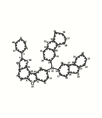 c1ccc(-c2nc3ccc4oc5ccc(N(c6ccc7sc8ccccc8c7c6)c6ccc7sc8ccccc8c7c6)cc5c4c3s2)cc1